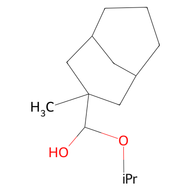 CC(C)OC(O)C1(C)CC2CCCC(C2)C1